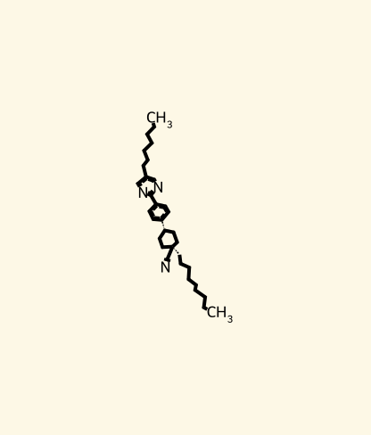 CCCCCCCCC[C@]1(C#N)CC[C@H](c2ccc(-c3ncc(CCCCCCC)cn3)cc2)CC1